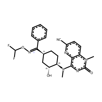 CN(c1nc(=O)n(C)c2ccc(C#N)nc12)[C@@H]1CC[C@H](/C(=N/OC(F)F)c2ccccc2)C[C@H]1O